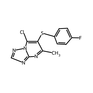 Cc1nc2ncnn2c(Cl)c1Sc1ccc(F)cc1